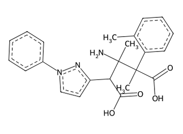 Cc1ccccc1C(C)(C(=O)O)C(C)(N)C(C(=O)O)c1ccn(-c2ccccc2)n1